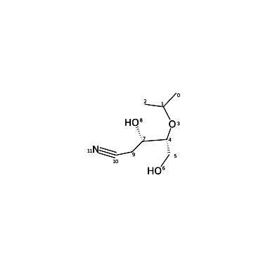 CC(C)O[C@H](CO)[C@@H](O)CC#N